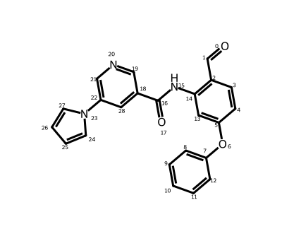 O=Cc1ccc(Oc2ccccc2)cc1NC(=O)c1cncc(-n2cccc2)c1